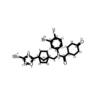 CC(C)(C)c1noc(C23CCC(CN(C(=O)C4CCC(=O)CC4)c4ccc(F)c(Br)c4)(CC2)C3)n1